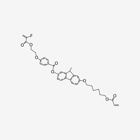 C=CC(=O)OCCCCCCOc1ccc2c(c1)C(C)c1cc(OC(=O)c3ccc(OCCOC(=O)C(=C)F)cc3)ccc1-2